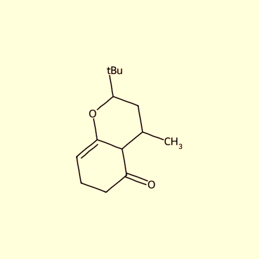 CC1CC(C(C)(C)C)OC2=CCCC(=O)C21